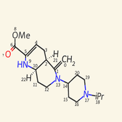 C=C1[C@@H]2CC=C(C(=O)OC)N[C@@H]2CCN1C1CCN(C(C)C)CC1